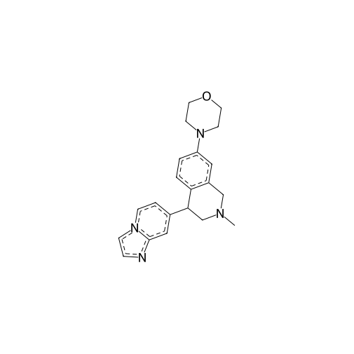 CN1Cc2cc(N3CCOCC3)ccc2C(c2ccn3ccnc3c2)C1